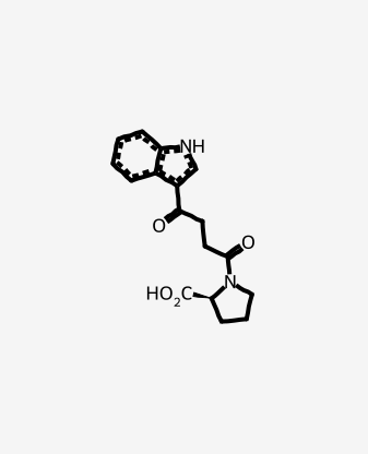 O=C(CCC(=O)N1CCC[C@H]1C(=O)O)c1c[nH]c2ccccc12